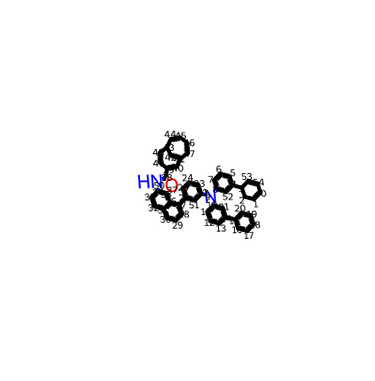 C1=CCC(c2cccc(N(c3cccc(-c4ccccc4)c3)c3cccc(-c4cccc5ccc6c(c45)OC(C4=CC5=CC(C=CC=C5)C=C4)N6)c3)c2)C=C1